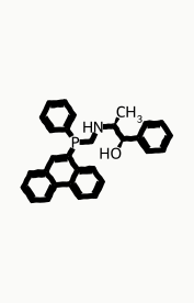 C[C@H](NCP(c1ccccc1)c1cc2ccccc2c2ccccc12)[C@H](O)c1ccccc1